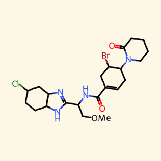 COCC(NC(=O)C1=CCC(N2CCCCC2=O)C(Br)C1)C1=NC2CC(Cl)CCC2N1